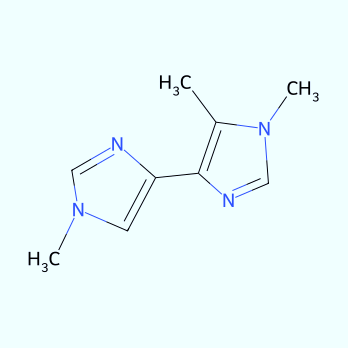 Cc1c(-c2cn(C)cn2)ncn1C